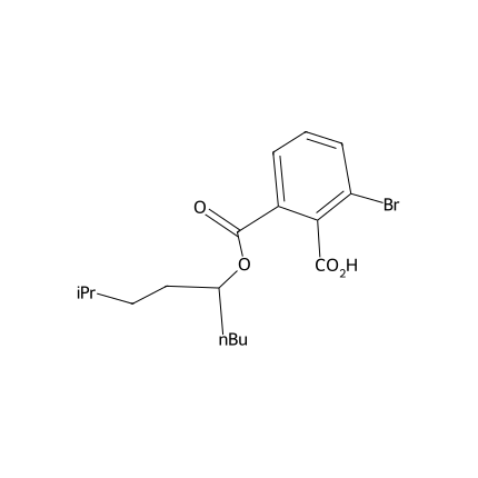 CCCCC(CCC(C)C)OC(=O)c1cccc(Br)c1C(=O)O